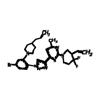 C=CCC1CCN(c2cc(Br)ccc2-n2cc(-c3cc(C)nc(N4CCC(F)(F)C(C=C)C4)n3)nn2)CC1